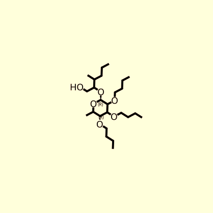 CCCCOC1C(OCCCC)[C@H](OCCCC)C(C)O[C@H]1OC(CO)C(C)CCC